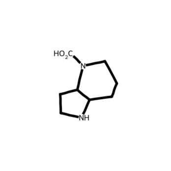 O=C(O)N1CCCC2NCCC21